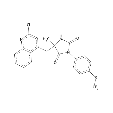 CC1(Cc2cc(Cl)nc3ccccc23)NC(=O)N(c2ccc(SC(F)(F)F)cc2)C1=O